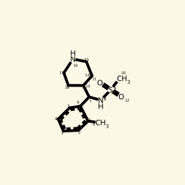 Cc1ccccc1C(NS(C)(=O)=O)C1CCNCC1